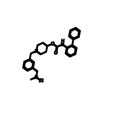 CCN(C)Cc1cccc(CN2CCC(OC(=O)Nc3ccccc3-c3ccccc3)CC2)c1